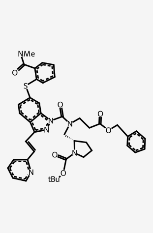 CNC(=O)c1ccccc1Sc1ccc2c(/C=C/c3ccccn3)nn(C(=O)N(CCC(=O)OCc3ccccc3)C[C@@H]3CCCN3C(=O)OC(C)(C)C)c2c1